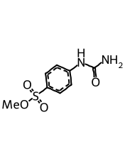 COS(=O)(=O)c1ccc(NC(N)=O)cc1